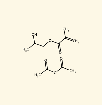 C=C(C)C(=O)OCC(C)O.CC(=O)OC(C)=O